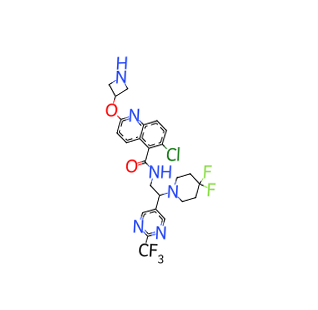 O=C(NCC(c1cnc(C(F)(F)F)nc1)N1CCC(F)(F)CC1)c1c(Cl)ccc2nc(OC3CNC3)ccc12